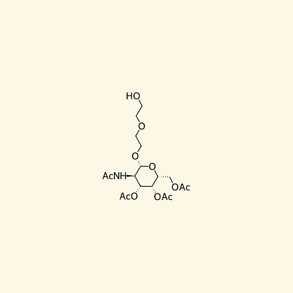 CC(=O)N[C@H]1[C@H](OCCOCCO)O[C@H](COC(C)=O)[C@H](OC(C)=O)[C@@H]1OC(C)=O